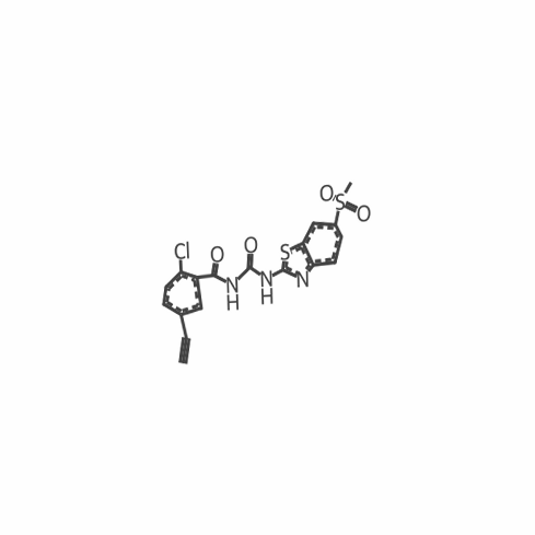 C#Cc1ccc(Cl)c(C(=O)NC(=O)Nc2nc3ccc(S(C)(=O)=O)cc3s2)c1